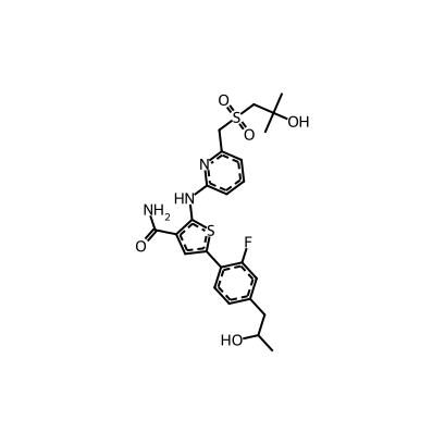 CC(O)Cc1ccc(-c2cc(C(N)=O)c(Nc3cccc(CS(=O)(=O)CC(C)(C)O)n3)s2)c(F)c1